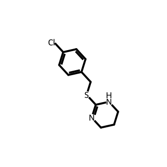 Clc1ccc(CSC2=NCCCN2)cc1